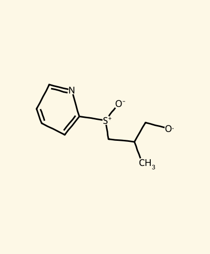 CC(C[O])C[S+]([O-])c1ccccn1